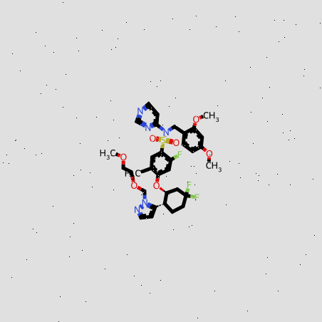 COCCOCn1nccc1[C@H]1CCC(F)(F)C[C@@H]1Oc1cc(F)c(S(=O)(=O)N(Cc2ccc(OC)cc2OC)c2ccncn2)cc1C